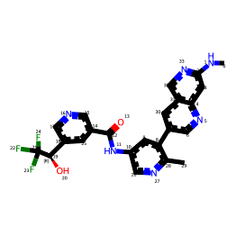 CNc1cc2ncc(-c3cc(NC(=O)c4cncc([C@@H](O)C(F)(F)F)c4)cnc3C)cc2cn1